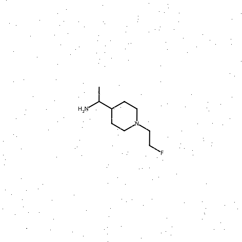 CC(N)C1CCN(CCF)CC1